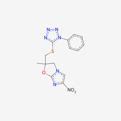 CC1(CSc2nnnn2-c2ccccc2)Cn2cc([N+](=O)[O-])nc2O1